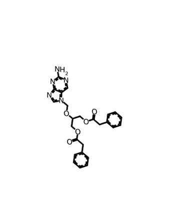 Nc1ncc2c(ncn2COC(COC(=O)Cc2ccccc2)COC(=O)Cc2ccccc2)n1